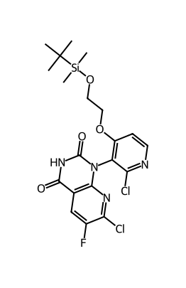 CC(C)(C)[Si](C)(C)OCCOc1ccnc(Cl)c1-n1c(=O)[nH]c(=O)c2cc(F)c(Cl)nc21